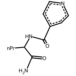 CCCC(NC(=O)c1ccncc1)C(N)=O